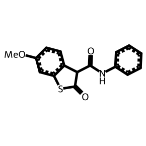 COc1ccc2c(c1)SC(=O)C2C(=O)Nc1ccccc1